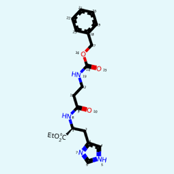 CCOC(=O)[C@H](Cc1c[nH]cn1)NC(=O)CCNC(=O)OCc1ccccc1